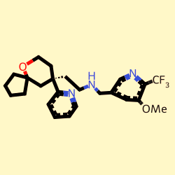 COc1cc(CNCC[C@@]2(c3ccccn3)CCOC3(CCCC3)C2)cnc1C(F)(F)F